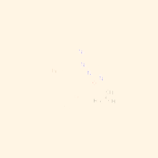 C[Si](C)(C)CCOCn1c(-c2c(C#N)cccc2C#N)nc2c3ccc(Br)cc3c3cc(OCC4CC4)ccc3c21